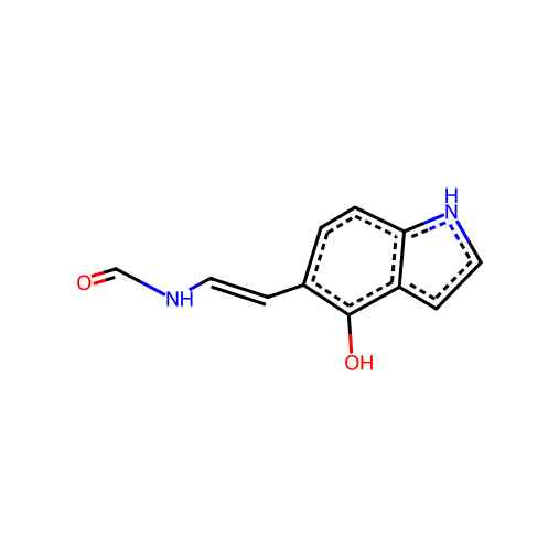 O=CNC=Cc1ccc2[nH]ccc2c1O